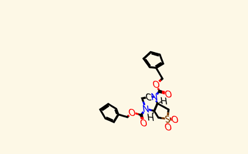 O=C(OCc1ccccc1)N1CCN(C(=O)OCc2ccccc2)[C@H]2CS(=O)(=O)C[C@H]21